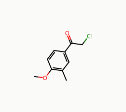 COc1ccc(C(=O)CCl)cc1C